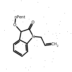 C=CCN1C(=O)C(OCCCCC)c2ccccc21